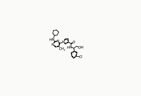 Cc1cnc(NC2CCCCC2)nc1-n1ccc(C(=O)NC(CO)c2cccc(Cl)c2)c1